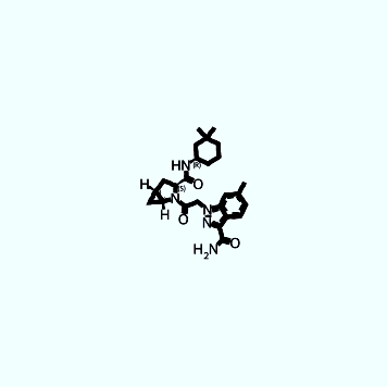 Cc1ccc2c(C(N)=O)nn(CC(=O)N3[C@@H]4C[C@@H]4C[C@H]3C(=O)N[C@@H]3CCCC(C)(C)C3)c2c1